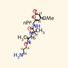 CCC[C@@H](NC(=O)[C@]1(C)CSC(/C(C)=N/OCCCN)=N1)c1cc(OC)cc(=O)o1